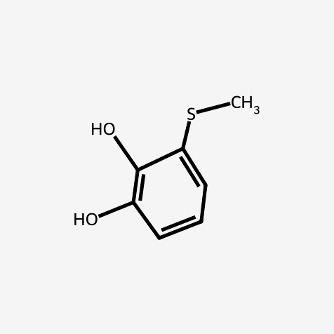 CSc1cccc(O)c1O